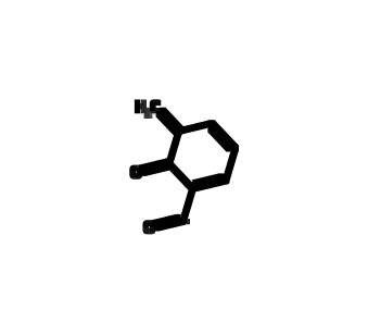 C=C1C=CC=C([C]=O)C1=O